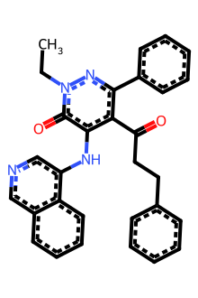 CCn1nc(-c2ccccc2)c(C(=O)CCc2ccccc2)c(Nc2cncc3ccccc23)c1=O